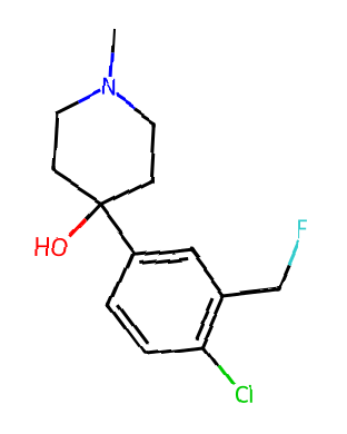 CN1CCC(O)(c2ccc(Cl)c(CF)c2)CC1